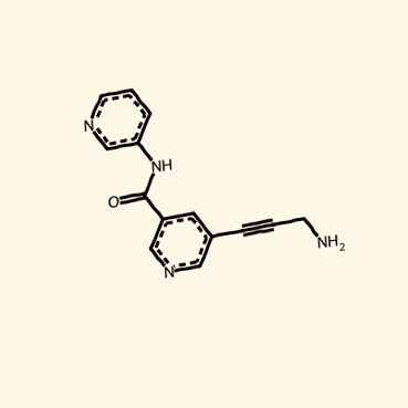 NCC#Cc1cncc(C(=O)Nc2cccnc2)c1